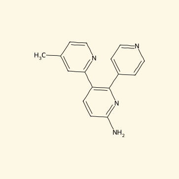 Cc1ccnc(-c2ccc(N)nc2-c2ccncc2)c1